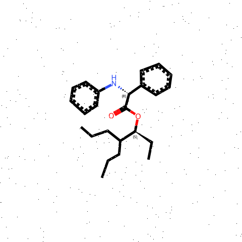 CCCC(CCC)[C@H](CC)OC(=O)[C@H](Nc1ccccc1)c1ccccc1